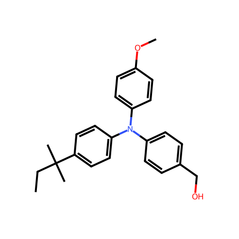 CCC(C)(C)c1ccc(N(c2ccc(CO)cc2)c2ccc(OC)cc2)cc1